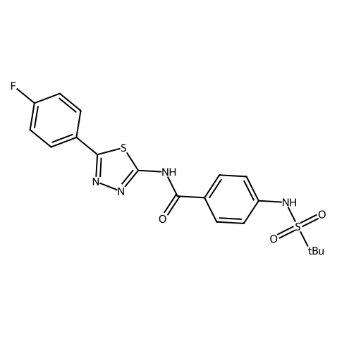 CC(C)(C)S(=O)(=O)Nc1ccc(C(=O)Nc2nnc(-c3ccc(F)cc3)s2)cc1